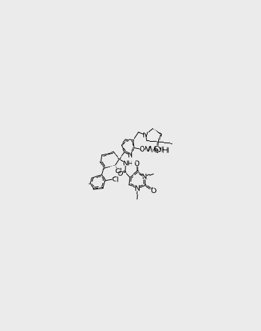 COc1nc(C2(NC(=O)c3cn(C)c(=O)n(C)c3=O)C=CC=C(c3ccccc3Cl)[C@H]2Cl)ccc1CN1CCC(C)(O)C1